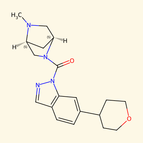 CN1C[C@@H]2C[C@H]1CN2C(=O)n1ncc2ccc(C3CCOCC3)cc21